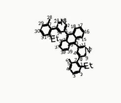 CCc1cccc(C)c1-c1cncc(-c2c3ccccc3c(-c3cncc(-c4c(C)cccc4CC)c3)c3ccccc23)c1